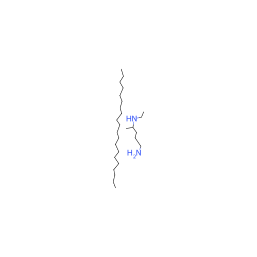 CCCCCCCCCCCCCCCCCCCC.CCNC(C)CCCN